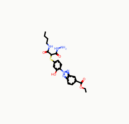 CCCCNC(=O)C(Sc1ccc(-n2nc3ccc(C(=O)OCC)cc3n2)c(O)c1)C(=O)NN